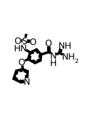 CS(=O)(=O)Nc1cc(C(=O)NC(=N)N)ccc1Oc1cccnc1